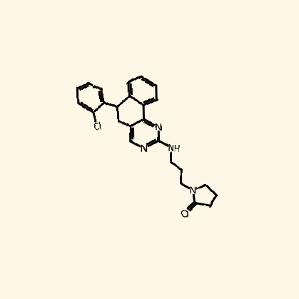 O=C1CCCN1CCCNc1ncc2c(n1)-c1ccccc1C(c1ccccc1Cl)C2